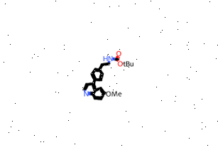 COc1ccc2nccc(-c3ccc(CCNC(=O)OC(C)(C)C)cc3)c2c1